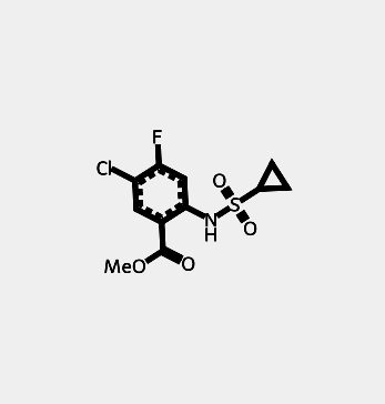 COC(=O)c1cc(Cl)c(F)cc1NS(=O)(=O)C1CC1